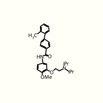 COc1ccc(NC(=O)c2ccc(-c3ccccc3C)cc2)cc1OCCN(C(C)C)C(C)C